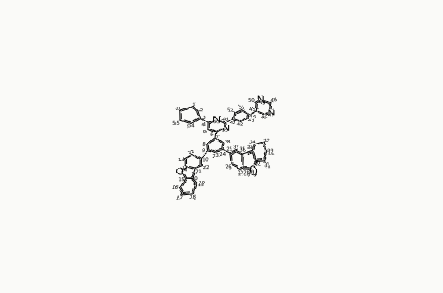 c1ccc(-c2cc(-c3cc(-c4ccc5oc6ccccc6c5c4)cc(-c4ccc5oc6ccccc6c5c4)c3)nc(-c3ccc(-c4cncnc4)cc3)n2)cc1